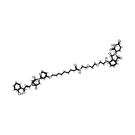 O=C(CCCCCCCCOc1ccnc(N2C[C@H]3C[C@@H]2CN3/C=C/C(=O)c2ccccc2O)c1)NCCOCCOCCNc1cccc2c1C(=O)N(C1CCC(=O)NC1=O)C2=O